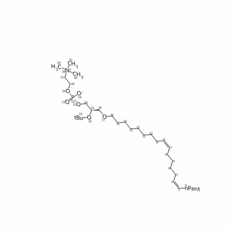 CCCCC/C=C\CCCC/C=C\CCCCCCCCOC[C@H](COP(=O)([O-])OCC[N+](C)(C)C)OC(C)(C)C